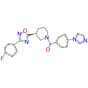 O=C(c1ccc(-n2ccnc2)cc1)N1CCC[C@H](c2nc(-c3ccc(F)cc3)no2)C1